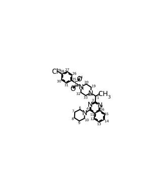 CC(c1nc(N2CCCCC2)c2ccccc2n1)N1CCN(S(=O)(=O)c2ccc(Cl)cc2)CC1